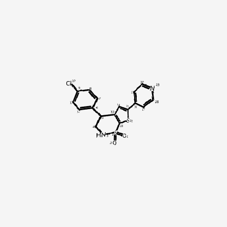 O=S1(=O)NCC(c2ccc(Cl)cc2)c2cc(-c3ccncc3)sc21